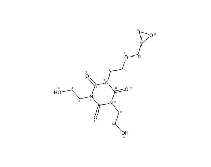 O=c1n(CCO)c(=O)n(CCOCC2CO2)c(=O)n1CCO